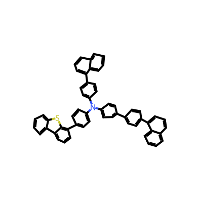 c1ccc2c(-c3ccc(-c4ccc(N(c5ccc(-c6cccc7ccccc67)cc5)c5ccc(-c6cccc7c6sc6ccccc67)cc5)cc4)cc3)cccc2c1